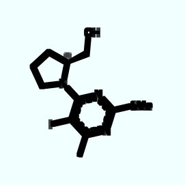 CSc1nc(C)c(I)c(N2CCC[C@H]2CO)n1